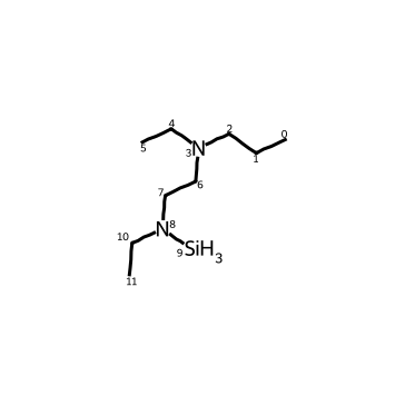 CCCN(CC)CCN([SiH3])CC